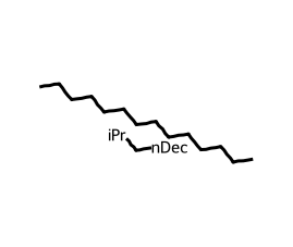 CCCCCCCCCCCC(C)C.CCCCCCCCCCCCCC